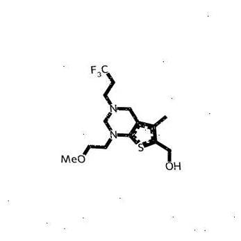 COCCN1CN(CCC(F)(F)F)Cc2c1sc(CO)c2C